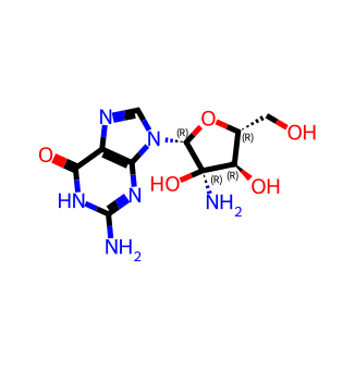 Nc1nc2c(ncn2[C@@H]2O[C@H](CO)[C@@H](O)[C@@]2(N)O)c(=O)[nH]1